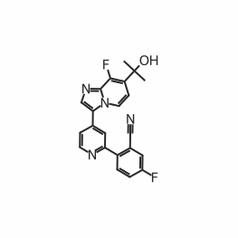 CC(C)(O)c1ccn2c(-c3ccnc(-c4ccc(F)cc4C#N)c3)cnc2c1F